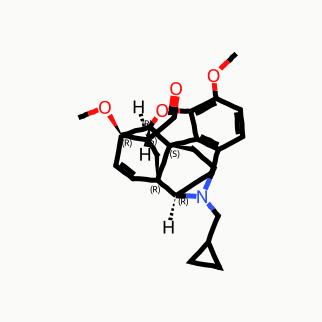 COc1ccc2c3c1O[C@H]1[C@@]4(OC)C=C[C@@]5(C[C@@H]4C=O)[C@@H](C2)N(CC2CC2)CC[C@]315